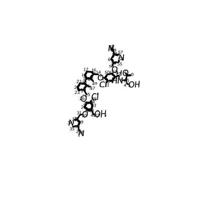 C=C(O)[C@@H](CO)NCc1cc(Cl)c(OCc2cccc(-c3cccc(COc4cc(OCc5cncc(C#N)c5)c(CO)cc4Cl)c3C)c2C)cc1OCc1cncc(C#N)c1